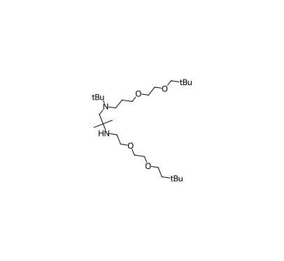 CC(C)(C)CCOCCOCCNC(C)(C)CN(CCCOCCOCC(C)(C)C)C(C)(C)C